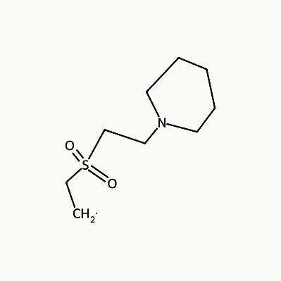 [CH2]CS(=O)(=O)CCN1CCCCC1